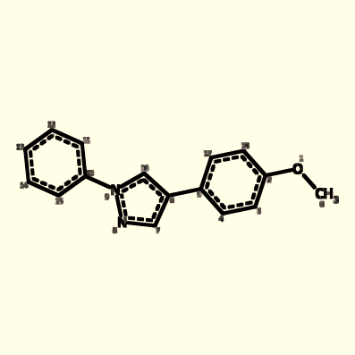 COc1ccc(-c2cnn(-c3ccccc3)c2)cc1